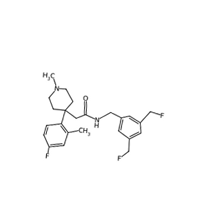 Cc1cc(F)ccc1C1(CC(=O)NCc2cc(CF)cc(CF)c2)CCN(C)CC1